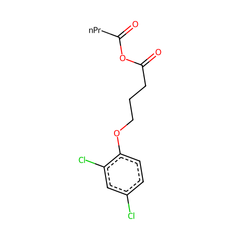 CCCC(=O)OC(=O)CCCOc1ccc(Cl)cc1Cl